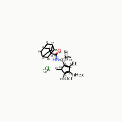 CCCCCCCCC1=C(CCCCCC)C(CC)=[C]([Ti+2]([NH]C(=O)C23CC4CC(CC(C4)C2)C3)[SiH](C)C)C1C.[Cl-].[Cl-]